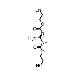 [C-]#[N+]CCOC(=O)/N=C(\N)NC(=O)OCCC#N